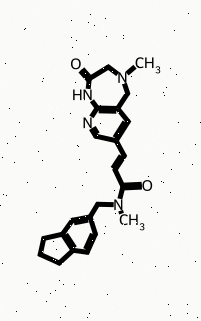 CN1CC(=O)Nc2ncc(C=CC(=O)N(C)Cc3ccc4c(c3)CCC4)cc2C1